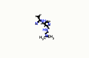 CN(C)CCNCc1cc(CNC(C#N)C2CC2)ccn1